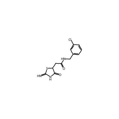 N=C1NC(=O)C(CC(=O)NCc2cccc(Cl)c2)S1